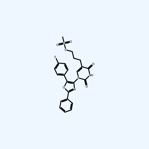 CS(=O)(=O)OCCCc1cn(-c2nc(-c3ccccc3)oc2-c2ccc(F)cc2)c(=O)[nH]c1=O